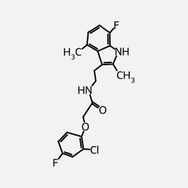 Cc1[nH]c2c(F)ccc(C)c2c1CCNC(=O)COc1ccc(F)cc1Cl